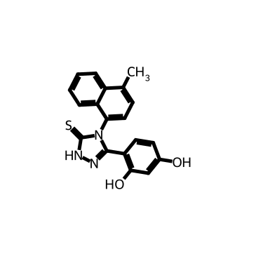 Cc1ccc(-n2c(-c3ccc(O)cc3O)n[nH]c2=S)c2ccccc12